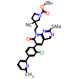 CSc1ncc2cc(-c3ccc(-c4cccc(C)n4)cc3Cl)c(=O)n(CCC3(C#N)CCN(C(=O)OC(C)(C)C)C3)c2n1